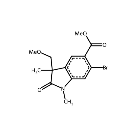 COCC1(C)C(=O)N(C)c2cc(Br)c(C(=O)OC)cc21